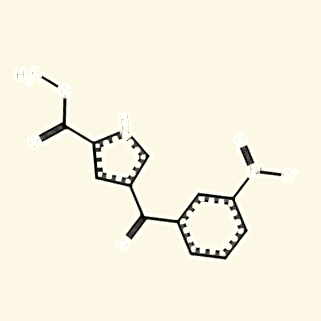 COC(=O)c1cc(C(=O)c2cccc([N+](=O)[O-])c2)c[nH]1